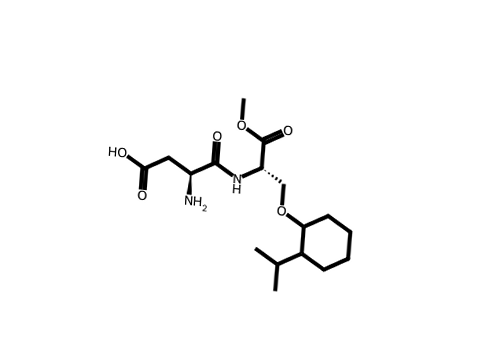 COC(=O)[C@H](COC1CCCCC1C(C)C)NC(=O)[C@@H](N)CC(=O)O